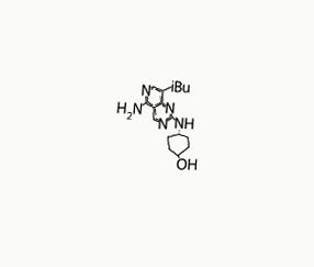 CCC(C)c1cnc(N)c2cnc(N[C@H]3CC[C@H](O)CC3)nc12